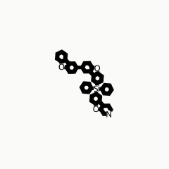 c1ccc([Si](c2ccccc2)(c2ccc3oc4cnccc4c3c2)c2ccc3oc4ccc(-c5ccc6oc7ccccc7c6c5)cc4c3c2)cc1